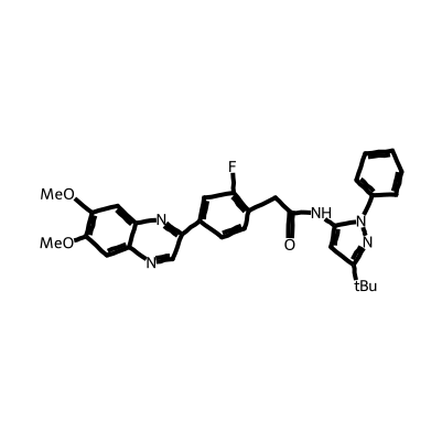 COc1cc2ncc(-c3ccc(CC(=O)Nc4cc(C(C)(C)C)nn4-c4ccccc4)c(F)c3)nc2cc1OC